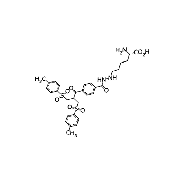 Cc1ccc(S(=O)(=O)CC(CS(=O)(=O)c2ccc(C)cc2)C(=O)c2ccc(C(=O)NNCCCC[C@H](N)C(=O)O)cc2)cc1